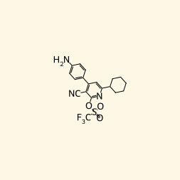 N#Cc1c(-c2ccc(N)cc2)cc(C2CCCCC2)nc1OS(=O)(=O)C(F)(F)F